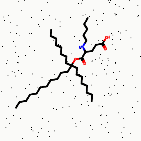 CCCCCCCCCCCC(CCCCCCCC)(CCCCCCCC)OC(=O)C(CCC(=O)O)NCCCCC